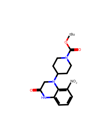 CC(C)(C)OC(=O)N1CCC(N2CC(=O)Nc3cccc([N+](=O)[O-])c32)CC1